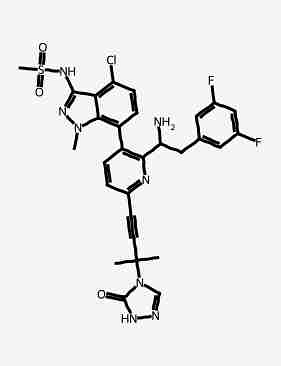 Cn1nc(NS(C)(=O)=O)c2c(Cl)ccc(-c3ccc(C#CC(C)(C)n4cn[nH]c4=O)nc3C(N)Cc3cc(F)cc(F)c3)c21